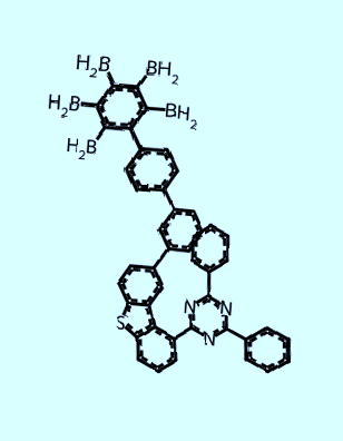 Bc1c(B)c(B)c(-c2ccc(-c3cccc(-c4ccc5sc6cccc(-c7nc(-c8ccccc8)nc(-c8ccccc8)n7)c6c5c4)c3)cc2)c(B)c1B